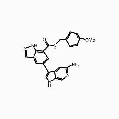 COc1ccc(CNC(=O)c2cc(-c3c[nH]c4cnc(N)cc34)cc3cn[nH]c23)cc1